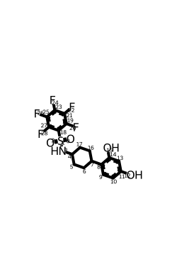 O=S(=O)(NC1CCC(c2ccc(O)cc2O)CC1)c1c(F)c(F)c(F)c(F)c1F